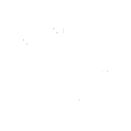 O=c1cc2[nH]cncc-2cc1O